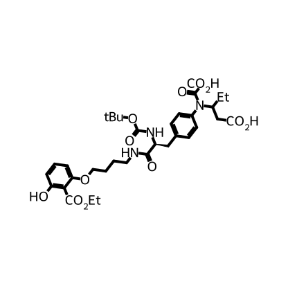 CCOC(=O)c1c(O)cccc1OCCCCNC(=O)[C@H](Cc1ccc(N(C(=O)C(=O)O)C(CC)CC(=O)O)cc1)NC(=O)OC(C)(C)C